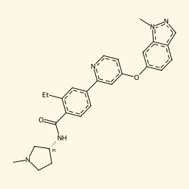 CCc1cc(-c2cc(Oc3ccc4cnn(C)c4c3)ccn2)ccc1C(=O)N[C@@H]1CCN(C)C1